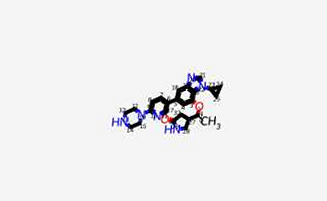 C[C@@H](Oc1cc(-c2ccc(N3CCNCC3)nc2)cc2ncn(C3CC3)c12)C1CNC(=O)C1